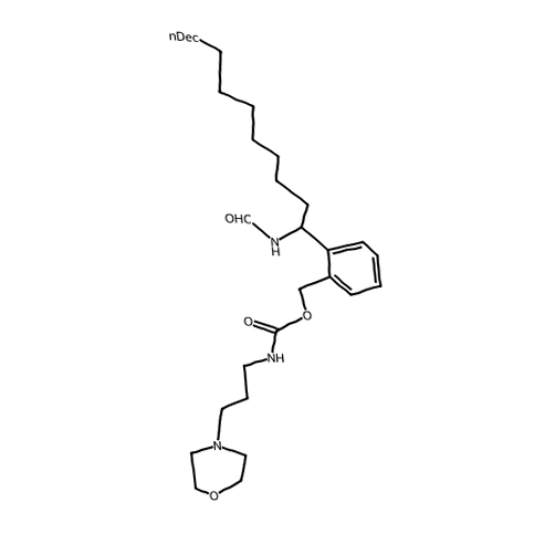 CCCCCCCCCCCCCCCCCC(NC=O)c1ccccc1COC(=O)NCCCN1CCOCC1